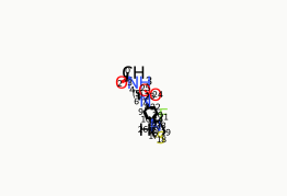 CC(=O)NC[C@H]1CN(c2ccc(N3C4CC[C@@H]3CSC4)c(F)c2)C(=O)O1